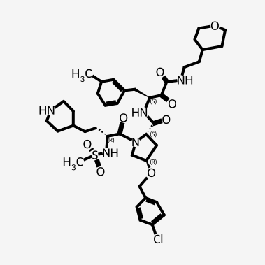 CC1C=C(C[C@H](NC(=O)[C@@H]2C[C@@H](OCc3ccc(Cl)cc3)CN2C(=O)[C@@H](CCC2CCNCC2)NS(C)(=O)=O)C(=O)C(=O)NCCC2CCOCC2)C=CC1